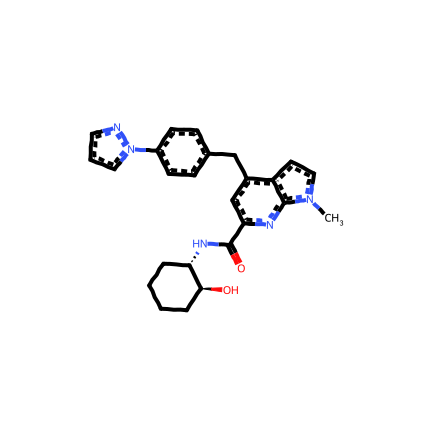 Cn1ccc2c(Cc3ccc(-n4cccn4)cc3)cc(C(=O)N[C@H]3CCCC[C@@H]3O)nc21